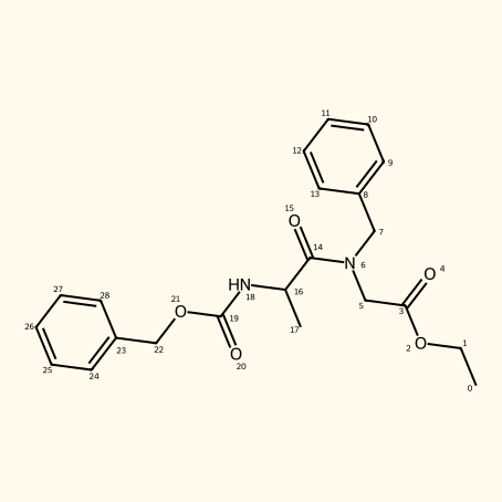 CCOC(=O)CN(Cc1ccccc1)C(=O)C(C)NC(=O)OCc1ccccc1